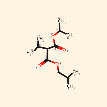 CC(C)COC(=O)C(C(=O)OC(C)C)C(C)C